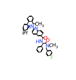 CC(C)c1ccc(-c2ccccc2C(C)Nc2ccc3cc(C(=O)N[C@H](C(=O)N(C)Cc4ccc(F)cc4)c4ccccc4)ccc3n2)cc1